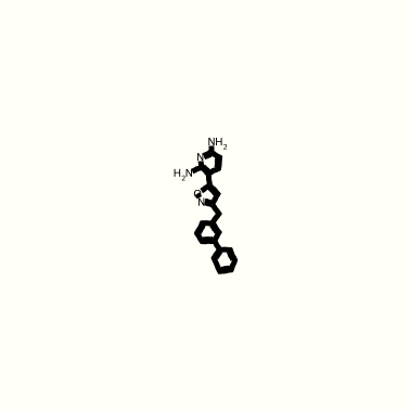 Nc1ccc(-c2cc(Cc3cccc(-c4ccccc4)c3)no2)c(N)n1